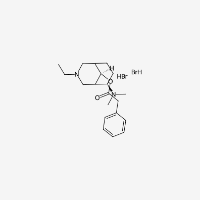 Br.Br.CCN1CC2CC[C@@H](N(C)C)C(C1)[C@@H]2OC(=O)Cc1ccccc1